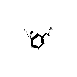 C[CH2][Al+2].Cc1ccccc1.[Cl-].[Cl-]